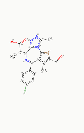 Cc1c(C=O)sc2c1C(c1ccc(Cl)cc1)=NC([C@H](C)C(=O)O)c1nnc(C)n1-2